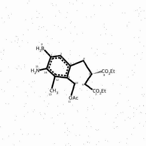 Bc1cc(C[C@@H](CC(=O)OCC)C(=O)OCC)c(COC(C)=O)c(C)c1N